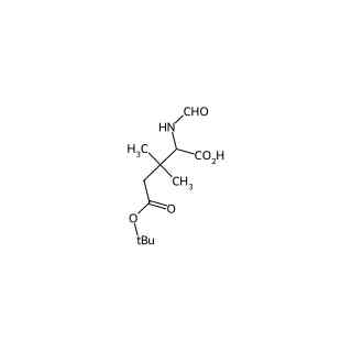 CC(C)(C)OC(=O)CC(C)(C)C(NC=O)C(=O)O